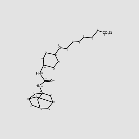 CCOC(=O)CCCCCCOC1CCC(NC(=O)NC23CC4CC(CC(C4)C2)C3)CC1